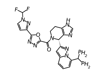 O=C(c1nnc(-c2ccn(C(F)F)n2)o1)N1CCc2[nH]cnc2[C@@H]1c1cc2cccc(C(P)P)n2n1